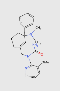 COc1cccnc1N(CC1=CC(c2ccccc2)(N(C)C)CCC1)C(N)=O